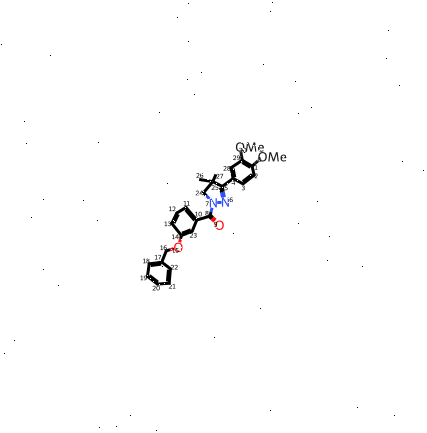 COc1ccc(C2=NN(C(=O)c3cccc(OCc4ccccc4)c3)CC2(C)C)cc1OC